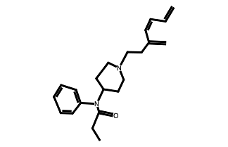 C=C/C=C\C(=C)CCN1CCC(N(C(=O)CC)c2ccccc2)CC1